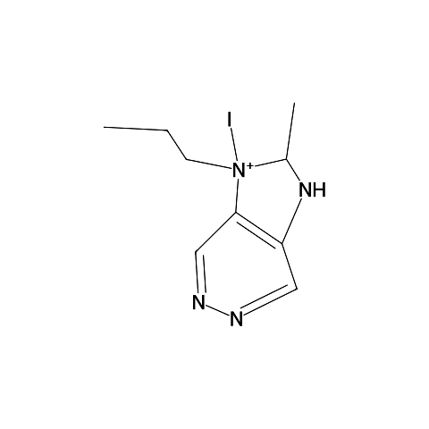 CCC[N+]1(I)c2cnncc2NC1C